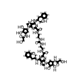 O=C(CO)N[C@H]1C[C@@H](n2cnc3c(N[C@H](CO)Cc4ccccc4)nc(C(=O)NCCNC(=O)NCCNC(=O)c4nc(N[C@H](CO)Cc5ccccc5)c5ncn([C@@H]6C[C@H](NC(=O)CO)[C@@H](O)[C@H]6O)c5n4)nc32)[C@H](O)[C@@H]1O